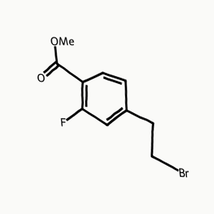 COC(=O)c1ccc(CCBr)cc1F